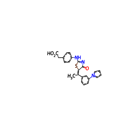 C/C(=C1\SC(Nc2ccc(CC(=O)O)cc2)=NC1=O)c1cccc(-n2cccc2)c1